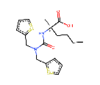 CCCC[C@@](C)(NC(=O)N(Cc1cccs1)Cc1cccs1)C(=O)O